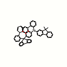 CC1(C)c2ccccc2-c2ccc(N(c3ccc4c(c3)C3C=CC=CC3c3ccccc3C43c4ccccc4-c4ccccc43)c3ccccc3-c3ccccc3)cc21